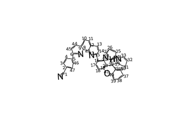 N#Cc1ccc(C2=NC3C(=CC=C4C=CC(c5ccc6c(c5)C(c5ccccn5)(C5CCC=CN5)c5ccccc5O6)=NC43)C=C2)cc1